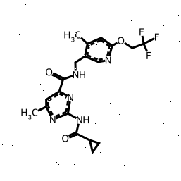 Cc1cc(C(=O)NCc2cnc(OCC(F)(F)F)cc2C)nc(NC(=O)C2CC2)n1